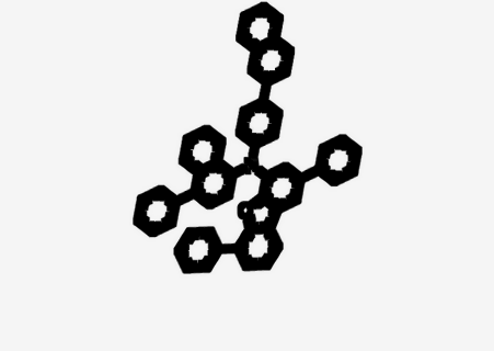 c1ccc(-c2cc(N(c3ccc(-c4ccc5ccccc5c4)cc3)c3ccc(-c4ccccc4)c4ccccc34)c3oc4c(-c5ccccc5)cccc4c3c2)cc1